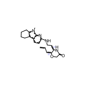 C=C/C=C1/OCC(=O)N/C1=C/CNc1ccc2c3c(n(C)c2n1)CCCC3